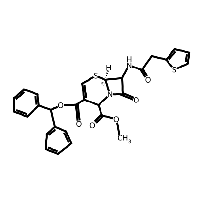 COC(=O)C1C(C(=O)OC(c2ccccc2)c2ccccc2)=CS[C@H]2C(NC(=O)Cc3cccs3)C(=O)N12